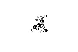 C=CC(O)N1CCN(c2nc(OC[C@@H]3CCCN3C)nc3c2CCN(c2cccc(C)c2C)C3)C[C@@H]1CC#N